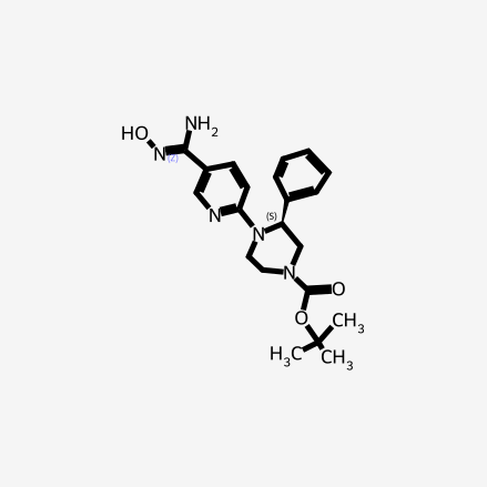 CC(C)(C)OC(=O)N1CCN(c2ccc(/C(N)=N/O)cn2)[C@@H](c2ccccc2)C1